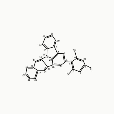 Cc1cc(C)c(-c2cc3c4ccccc4n4c5cc6ccccc6cc5c(c2)c34)c(C)c1